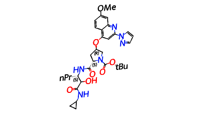 CCC[C@H](NC(=O)[C@@H]1C[C@@H](Oc2cc(-n3cccn3)nc3cc(OC)ccc23)CN1C(=O)OC(C)(C)C)C(O)C(=O)NC1CC1